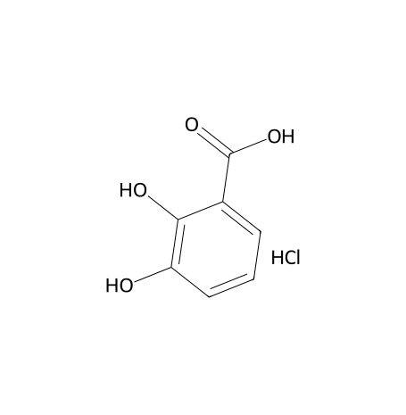 Cl.O=C(O)c1cccc(O)c1O